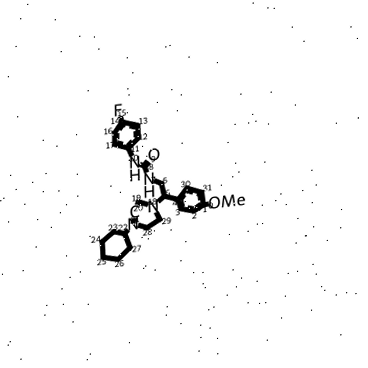 COc1ccc(C(CNC(=O)Nc2ccc(F)cc2)N2CCN(C3CCCCC3)CC2)cc1